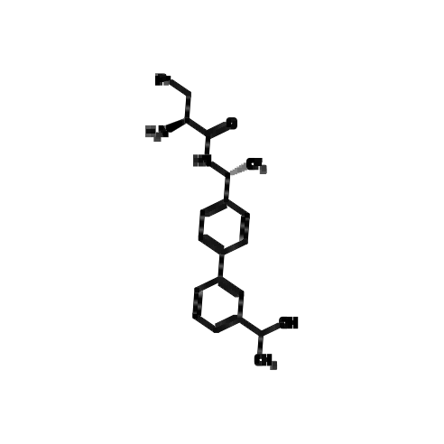 CC(C)C[C@H](N)C(=O)N[C@@H](c1ccc(-c2cccc(C(C)O)c2)cc1)C(F)(F)F